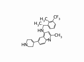 Cc1cc(N[C@H](C)c2cccc(C(F)(F)F)c2C)c2cc(C3=CCNCC3)ccc2n1